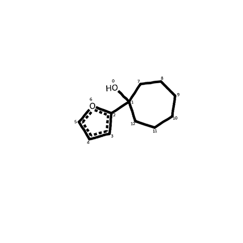 OC1(c2ccco2)CCCCCC1